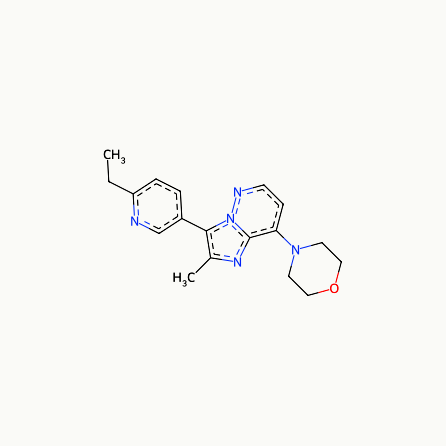 CCc1ccc(-c2c(C)nc3c(N4CCOCC4)ccnn23)cn1